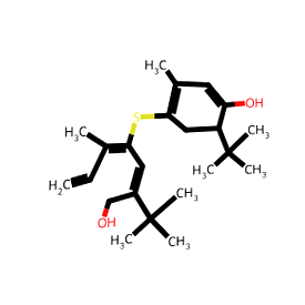 C=C/C(C)=C(\C=C(/CO)C(C)(C)C)SC1=C(C)C=C(O)C(C(C)(C)C)C1